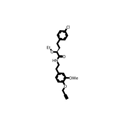 C#CCOc1ccc(CCNC(=O)[C@H](CCc2ccc(Cl)cc2)OCC)cc1OC